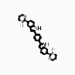 c1cc2[nH]c(-c3ccc(-c4cc5ccc(C6=NCCCN6)cc5[nH]4)cc3)cc2cc1C1=NCCCN1